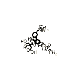 CCNC(=O)NSc1ccc2[nH]c3c(c2c1)CC(CNC)CC3.O=C(O)CC(O)(CC(=O)O)C(=O)O